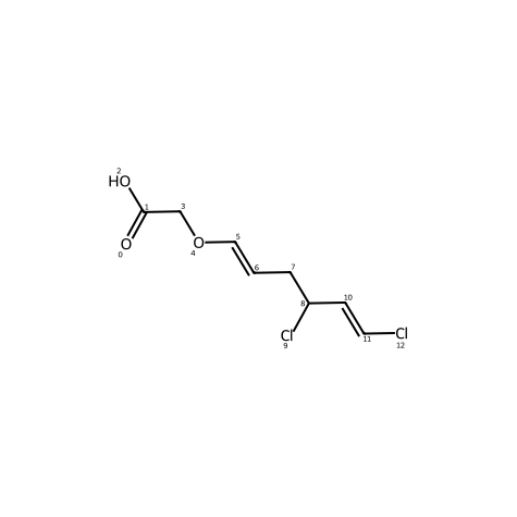 O=C(O)CO/C=C/CC(Cl)/C=C/Cl